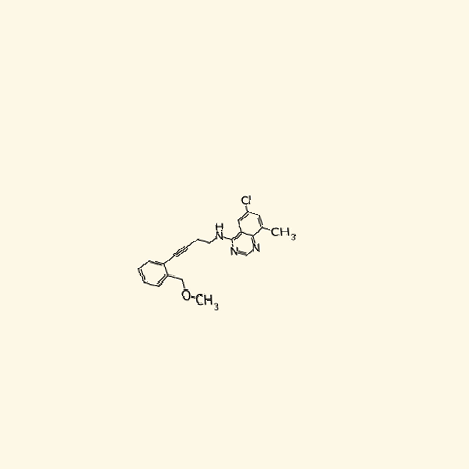 COCc1ccccc1C#CCCNc1ncnc2c(C)cc(Cl)cc12